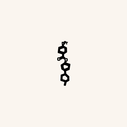 CCCc1ccc(C(=O)Oc2ccc(C3CCC(C)CC3)cc2)cc1